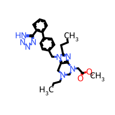 CCCc1nc2c(n1Cc1ccc(-c3ccccc3-c3nnn[nH]3)cc1)CN(CCC)CN2CC(=O)OC